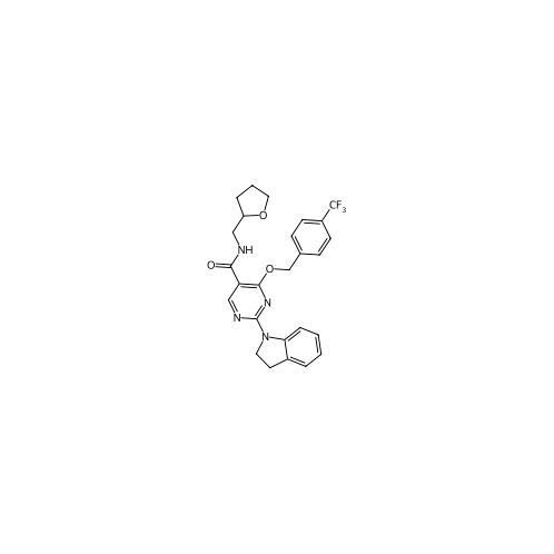 O=C(NCC1CCCO1)c1cnc(N2CCc3ccccc32)nc1OCc1ccc(C(F)(F)F)cc1